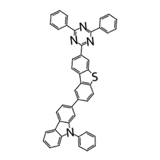 c1ccc(-c2nc(-c3ccccc3)nc(-c3ccc4c(c3)sc3ccc(-c5ccc6c7ccccc7n(-c7ccccc7)c6c5)cc34)n2)cc1